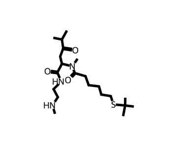 CNCCNC(=O)C(CC(=O)C(C)C)N(C)C(=O)CCCCCSC(C)(C)C